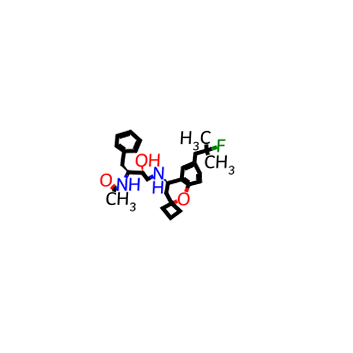 CC(=O)N[C@@H](Cc1ccccc1)[C@H](O)CN[C@H]1CC2(CCC2)Oc2ccc(CC(C)(C)F)cc21